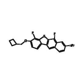 CCCc1ccc2cc3c(sc4c(F)c(OCC5CCC5)ccc43)c(F)c2c1